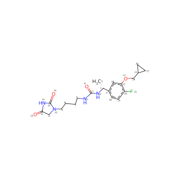 C[C@@H](NC(=O)NCCCCN1CC(=O)NC1=O)c1ccc(F)c(OCC2CC2)c1